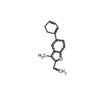 C=Cc1oc2ccc(C3=CC=CCC3)cc2c1C